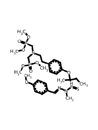 CCC(C)(Oc1ccc(CCN(CP(=O)(OC)OC)CP(=O)(OC)OC)cc1)[PH](=S)N(C)N=Cc1ccc(OC)cc1